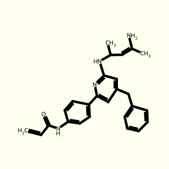 C=CC(=O)Nc1ccc(-c2cc(Cc3ccccc3)cc(NC(C)/C=C(/C)N)n2)cc1